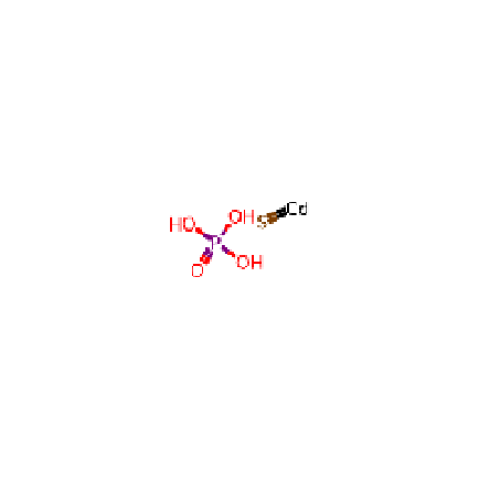 O=P(O)(O)O.[S]=[Cd]